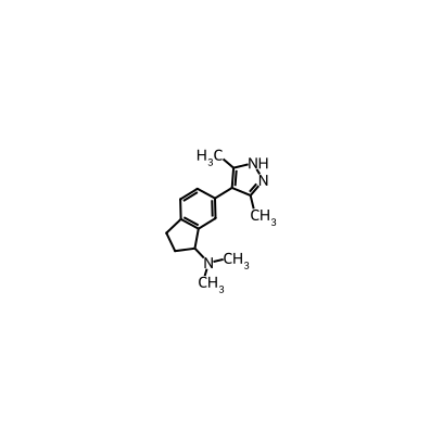 Cc1n[nH]c(C)c1-c1ccc2c(c1)C(N(C)C)CC2